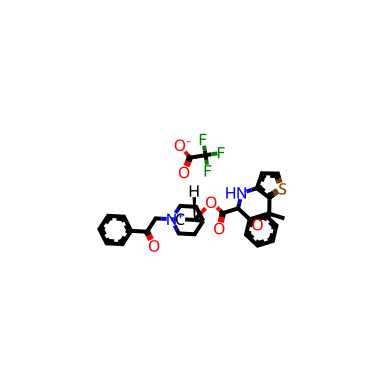 CC(=O)c1sccc1NC(C(=O)O[C@H]1C[N+]2(CC(=O)c3ccccc3)CCC1CC2)c1ccccc1.O=C([O-])C(F)(F)F